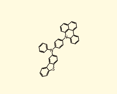 c1ccc(N(c2ccc(N3c4ccccc4-c4cccc5cccc3c45)cc2)c2ccc3sc4ccccc4c3c2)cc1